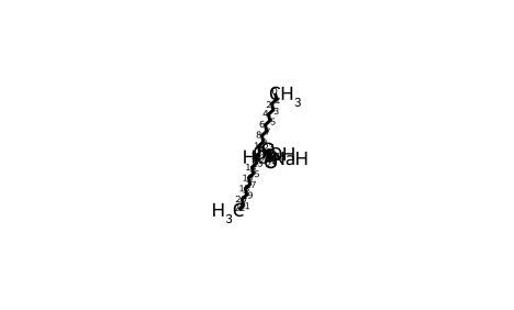 CCCCCCCCCCCOCCCCCCCCCCC.O=S(=O)(O)O.[NaH]